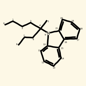 CCCCC(C)(CCC)n1c2ccccc2c2ccccc21